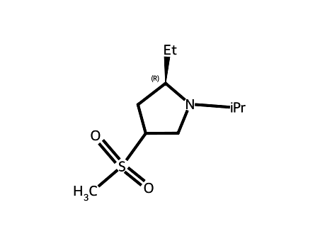 CC[C@@H]1CC(S(C)(=O)=O)CN1C(C)C